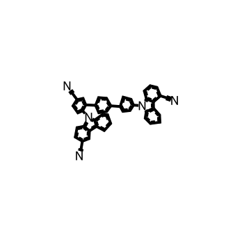 N#Cc1ccc(-n2c3ccccc3c3cc(C#N)ccc32)c(-c2ccc(-c3ccc(-n4c5ccccc5c5c(C#N)cccc54)cc3)cc2)c1